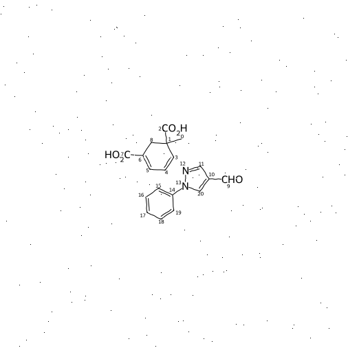 CC1(C(=O)O)C=CC=C(C(=O)O)C1.O=Cc1cnn(-c2ccccc2)c1